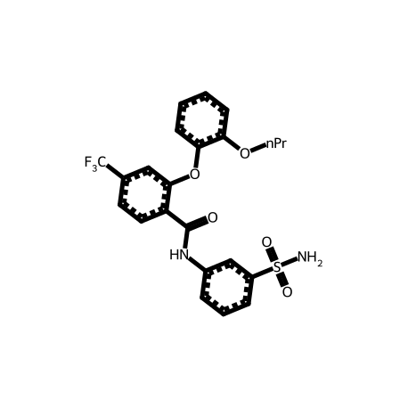 CCCOc1ccccc1Oc1cc(C(F)(F)F)ccc1C(=O)Nc1cccc(S(N)(=O)=O)c1